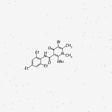 CCCCc1c(C(=O)Nc2c(CC)cc(CC)cc2CC)c(=O)c(Br)c(C)n1C